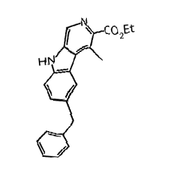 CCOC(=O)c1ncc2[nH]c3ccc(Cc4ccccc4)cc3c2c1C